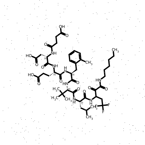 CCCCCCNC(=O)C(=O)C(CC(F)(F)F)NC(=O)[C@H](CC(C)C)NC(=O)[C@@H](NC(=O)[C@H](Cc1ccccc1C)NC(=O)[C@H](CCC(=O)O)NC(=O)[C@H](CC(=O)O)NC(=O)CCC(=O)O)C(C)(C)C